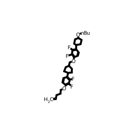 C=CCCCOc1ccc(C2CCC(COc3ccc(C4CCC(OCCCC)CC4)c(F)c3F)CC2)c(F)c1F